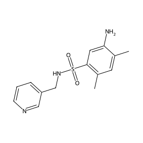 Cc1cc(C)c(S(=O)(=O)NCc2cccnc2)cc1N